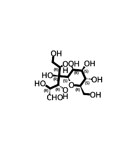 O=C[C@H](O)[C@@H](O)[C@](O)([C@H](O)CO)[C@H]1O[C@H](CO)[C@@H](O)[C@H](O)[C@H]1O